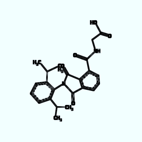 CC(C)c1cccc(C(C)C)c1N1C(=O)c2cccc(C(=O)NCC(=O)O)c2C1=O